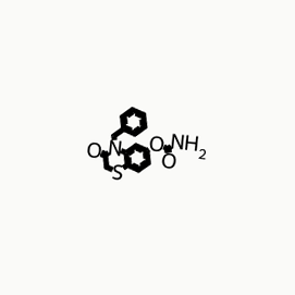 NC(=O)Oc1ccc2c(c1)N(Cc1ccccc1)C(=O)CS2